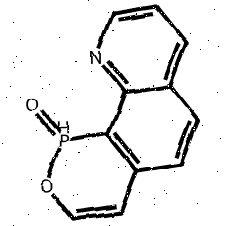 O=[PH]1OC=Cc2ccc3cccnc3c21